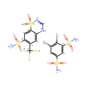 NS(=O)(=O)c1cc(Cl)c(Cl)c(S(N)(=O)=O)c1.NS(=O)(=O)c1cc2c(cc1C(F)(F)F)NC=NS2(=O)=O